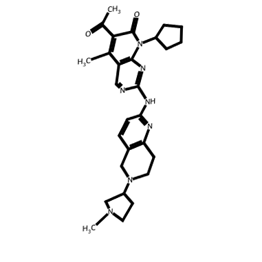 CC(=O)c1c(C)c2cnc(Nc3ccc4c(n3)CCN(C3CCN(C)C3)C4)nc2n(C2CCCC2)c1=O